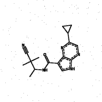 CC(NC(=O)c1c[nH]c2ncc(C3CC3)nc12)C(C)(C)C#N